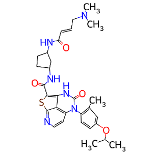 Cc1cc(OC(C)C)ccc1N1C(=O)Nc2c(C(=O)NC3CCC(NC(=O)/C=C/CN(C)C)C3)sc3nccc1c23